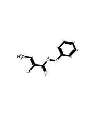 CC=C(CC)C(=O)OSc1ccccc1